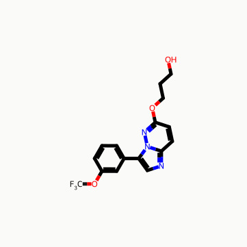 OCCCOc1ccc2ncc(-c3cccc(OC(F)(F)F)c3)n2n1